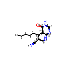 CCCCCc1c(C#N)cnc2nc[nH]c(=O)c12